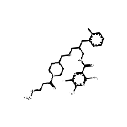 Cc1ccccc1CC(CNCC1CCN(C(=O)CCNC(=O)O)CC1)CNC(=O)c1nc(Cl)c(N)nc1N